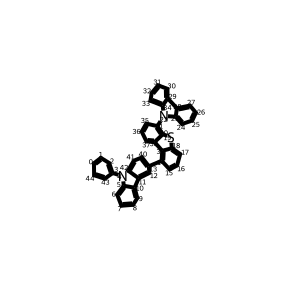 c1ccc(-n2c3ccccc3c3cc(-c4cccc5sc6c(-n7c8ccccc8c8ccccc87)cccc6c45)ccc32)cc1